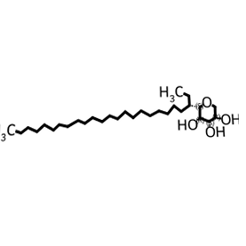 CCCCCCCCCCCCCCCCCCCCCCC(CC)[C@@H]1OC[C@@H](O)[C@H](O)[C@H]1O